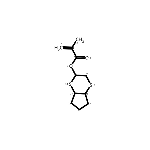 C=C(C)C(=O)OC1CSC2CCCC2S1